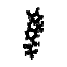 Cc1ncn(Cc2ccc(NC(=O)C(F)(F)F)cc2C(F)(F)F)c1C